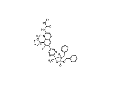 CCNC(=O)NC1=C=Nc2cc(-c3cnc(C(C)(C)OP(=O)(OCc4ccccc4)OCc4ccccc4)nc3)c(F)c([C@H]3CCCO3)c2N1C